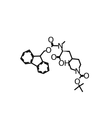 CN(C(=O)OCC1c2ccccc2-c2ccccc21)[C@@H](CC1CCN(C(=O)OC(C)(C)C)CC1)C(=O)O